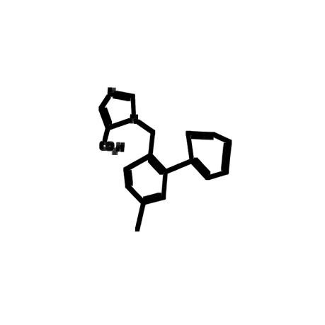 Cc1ccc(Cn2cncc2C(=O)O)c(-c2ccccc2)c1